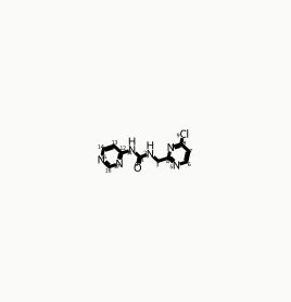 O=C(NCc1nccc(Cl)n1)Nc1c[c]ncn1